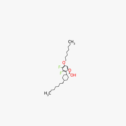 CCCCCCCCOc1ccc([C@]2(C(=O)O)CC[C@H](CCCCCCC)CC2)c(F)c1F